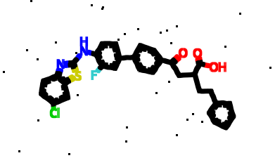 O=C(CC(CCc1ccccc1)C(=O)O)c1ccc(-c2ccc(Nc3nc4ccc(Cl)cc4s3)c(F)c2)cc1